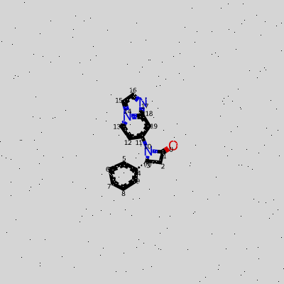 O=C1C[C@H](c2ccccc2)N1c1ccn2ccnc2c1